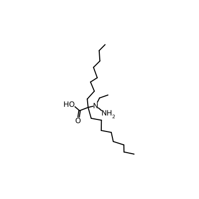 CCCCCCCCC(CCCCCCCC)(C(=O)O)N(N)CC